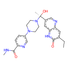 CCc1cc2ncc([C@](C)(O)N3CCN(c4ccc(C(=O)NC)nc4)CC3)cc2[nH]c1=O